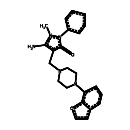 Cn1c(N)c(CN2CCN(c3cccc4ccoc34)CC2)c(=O)n1-c1ccccc1